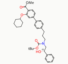 COC(=O)c1ccc(-c2ccc(CCCN(C[C@@H](O)c3ccccc3)C(=O)OC(C)(C)C)cc2)cc1OC1CCCCC1